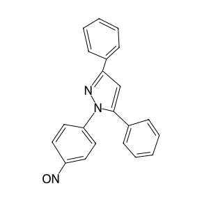 O=Nc1ccc(-n2nc(-c3ccccc3)cc2-c2ccccc2)cc1